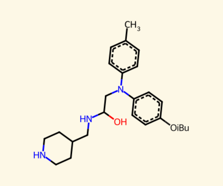 Cc1ccc(N(CC(O)NCC2CCNCC2)c2ccc(OCC(C)C)cc2)cc1